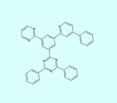 c1ccc(-c2ccnc(-c3cc(-c4ncccn4)cc(-c4nc(-c5ccccc5)nc(-c5ccccc5)n4)c3)c2)cc1